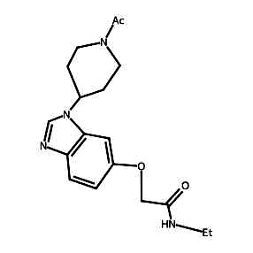 CCNC(=O)COc1ccc2ncn(C3CCN(C(C)=O)CC3)c2c1